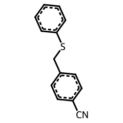 N#Cc1ccc(CSc2ccccc2)cc1